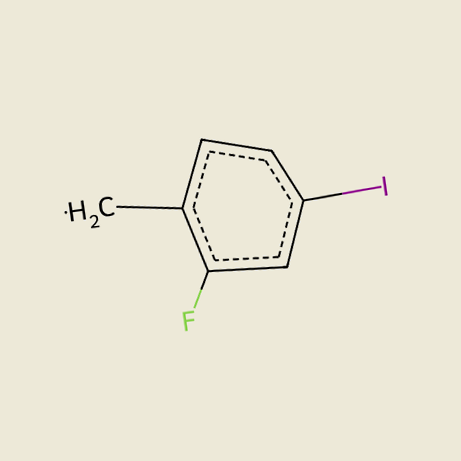 [CH2]c1ccc(I)cc1F